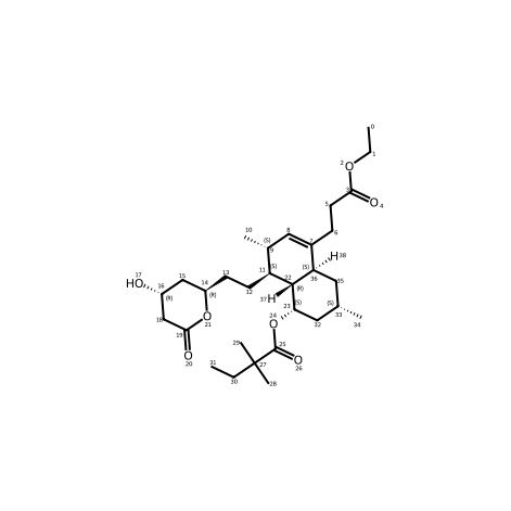 CCOC(=O)CCC1=C[C@@H](C)[C@H](CC[C@@H]2C[C@@H](O)CC(=O)O2)[C@H]2[C@@H](OC(=O)C(C)(C)CC)C[C@@H](C)C[C@H]12